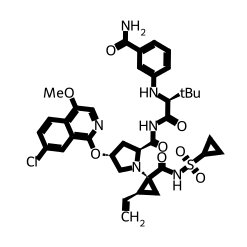 C=C[C@@H]1C[C@@]1(C(=O)NS(=O)(=O)C1CC1)N1C[C@H](Oc2ncc(OC)c3ccc(Cl)cc23)C[C@H]1C(=O)NC(=O)[C@@H](Nc1cccc(C(N)=O)c1)C(C)(C)C